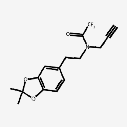 C#CCN(CCc1ccc2c(c1)OC(C)(C)O2)C(=O)C(F)(F)F